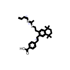 C=C/C=C\N=C(/C)SCCc1cc2c(cc1/C=C/c1ccc(C(=O)O)cc1)C(C)(C)CCC2(C)C